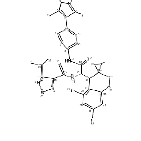 CC1=NCC(C)=C1c1ccc(NC(=O)[C@@H](NC(=O)c2nonc2C(C)C)C2c3c(F)cc(F)cc3OCC23CC3)cn1